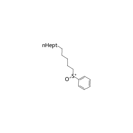 CCCCCCCCCCCC[S+]([O-])c1ccccc1